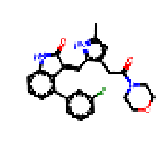 Cc1cc(CC(=O)N2CCOCC2)c(/C=C2\C(=O)Nc3cccc(-c4cccc(F)c4)c32)[nH]1